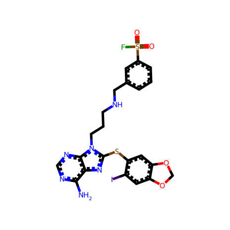 Nc1ncnc2c1nc(Sc1cc3c(cc1I)OCO3)n2CCCNCc1cccc(S(=O)(=O)F)c1